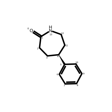 O=C1CC[C@H](c2ccccc2)CCN1